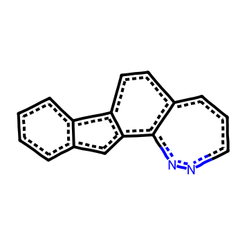 c1ccc2c(c1)cc1c2ccc2cccnnc21